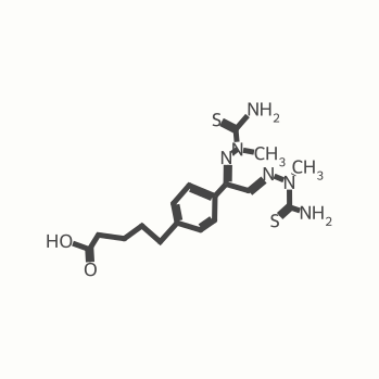 CN(N=CC(=NN(C)C(N)=S)c1ccc(CCCCC(=O)O)cc1)C(N)=S